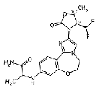 CC(Nc1ccc2c(c1)OCCn1cc(N3C(=O)O[C@H](C)[C@H]3C(F)F)nc1-2)C(N)=O